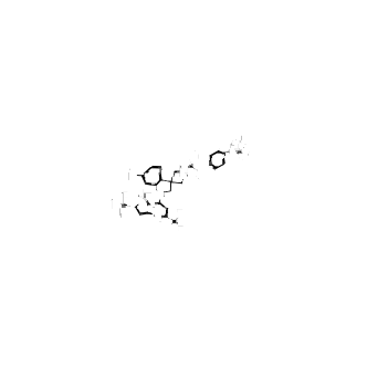 O=C(Oc1ccc([N+](=O)[O-])cc1)N1CC(CNc2cc(C(F)(F)F)nc3cc(C(F)(F)F)nn23)(c2ccc(F)cc2)C1